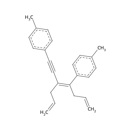 C=CCC(C#Cc1ccc(C)cc1)=C(CC=C)c1ccc(C)cc1